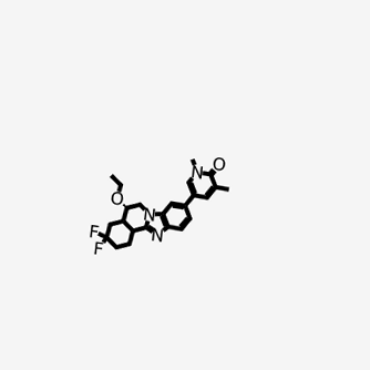 CCO[C@@H]1Cn2c(nc3ccc(-c4cc(C)c(=O)n(C)c4)cc32)C2CCC(F)(F)CC21